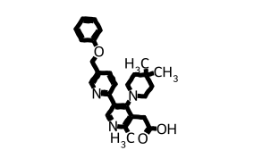 Cc1ncc(-c2ccc(COc3ccccc3)cn2)c(N2CCC(C)(C)CC2)c1CC(=O)O